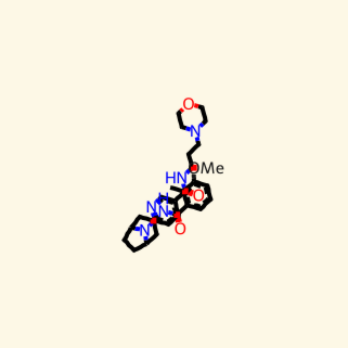 COc1cccc(C(=O)NC2CC3CCC(C2)N3c2ccc(C(=O)NCCCN3CCOCC3)cn2)c1C